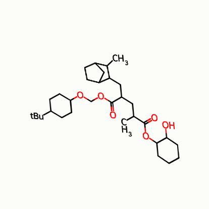 CC(CC(CC1C2CCC(C2)C1C)C(=O)OCOC1CCC(C(C)(C)C)CC1)C(=O)OC1CCCCC1O